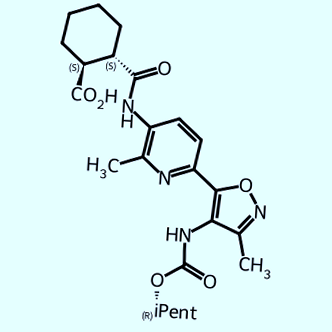 CCC[C@@H](C)OC(=O)Nc1c(C)noc1-c1ccc(NC(=O)[C@H]2CCCC[C@@H]2C(=O)O)c(C)n1